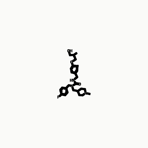 CC(CO)COc1ccc(CNC(=O)N(Cc2ccc(F)cc2)CC2CCN(C)CC2)cc1